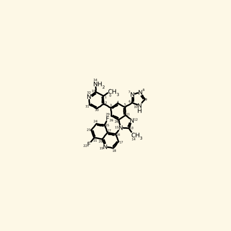 Cc1c(-c2cc(-c3nnc[nH]3)c3nc(C)n(-c4ccnc5c(F)ccc(F)c45)c3c2)ccnc1N